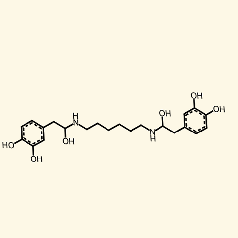 Oc1ccc(CC(O)NCCCCCCNC(O)Cc2ccc(O)c(O)c2)cc1O